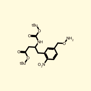 CC(C)(C)OC(=O)CC(Cc1cc(CON)ccc1[N+](=O)[O-])NC(=O)OC(C)(C)C